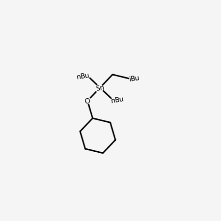 CCC[CH2][Sn]([CH2]CCC)([CH2]C(C)CC)[O]C1CCCCC1